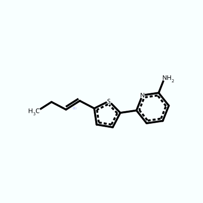 CC/C=C/c1ccc(-c2cccc(N)n2)s1